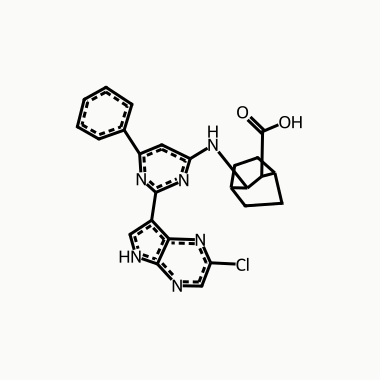 O=C(O)C1C2CCC(CC2)C1Nc1cc(-c2ccccc2)nc(-c2c[nH]c3ncc(Cl)nc23)n1